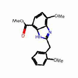 COC(=O)c1ccc(OC)c2nc(Cc3ccccc3OC)[nH]c12